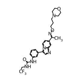 CC(=NOCCCN1CCOCC1)c1ccn2c(-c3cccc(NC(=O)NCC(F)(F)F)c3)cnc2c1